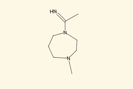 CC(=N)N1CCCN(C)CC1